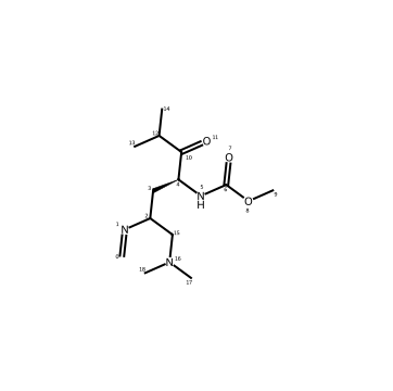 C=NC(C[C@H](NC(=O)OC)C(=O)C(C)C)CN(C)C